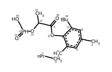 CCCC.Cc1cc(C)c(OC(=O)C(C)O[PH](=O)O)c(C(C)(C)C)c1